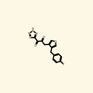 O=C(Cc1cocc1Cc1ccc(F)cc1)C(=O)c1nn[nH]n1